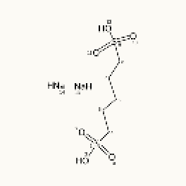 O=S(=O)(O)CCCCCS(=O)(=O)O.[NaH].[NaH]